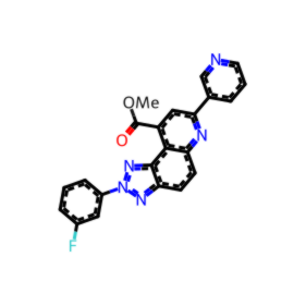 COC(=O)c1cc(-c2cccnc2)nc2ccc3nn(-c4cccc(F)c4)nc3c12